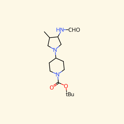 CC1CN(C2CCN(C(=O)OC(C)(C)C)CC2)CC1NC=O